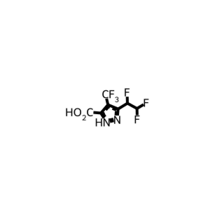 O=C(O)c1[nH]nc(C(F)C(F)F)c1C(F)(F)F